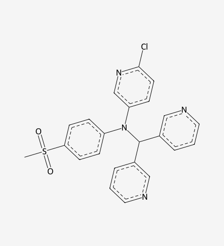 CS(=O)(=O)c1ccc(N(c2ccc(Cl)nc2)C(c2cccnc2)c2cccnc2)cc1